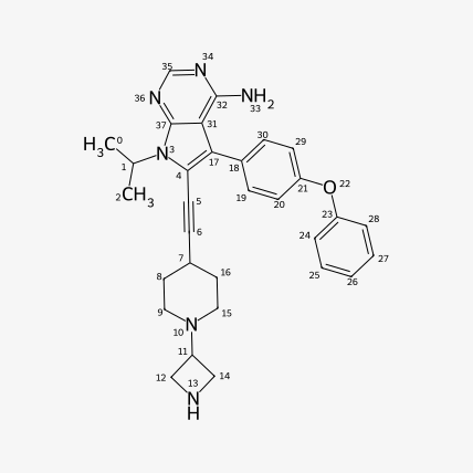 CC(C)n1c(C#CC2CCN(C3CNC3)CC2)c(-c2ccc(Oc3ccccc3)cc2)c2c(N)ncnc21